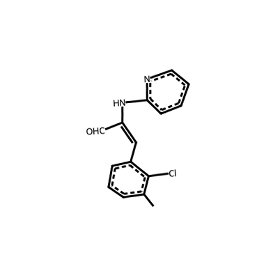 Cc1cccc(/C=C(\C=O)Nc2ccccn2)c1Cl